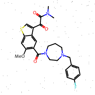 COc1cc2scc(C(=O)C(=O)N(C)C)c2cc1C(=O)N1CCCN(Cc2ccc(F)cc2)CC1